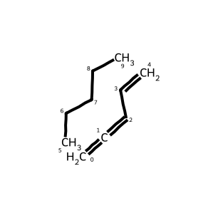 C=C=CC=C.CCCCC